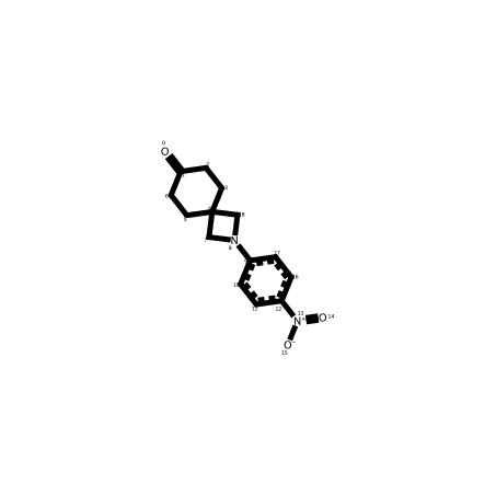 O=C1CCC2(CC1)CN(c1ccc([N+](=O)[O-])cc1)C2